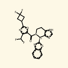 O=C(c1oc(C2CC(F)(F)C2)nc1C(F)F)N1CCc2[nH]cnc2[C@H]1c1nc2ccccc2s1